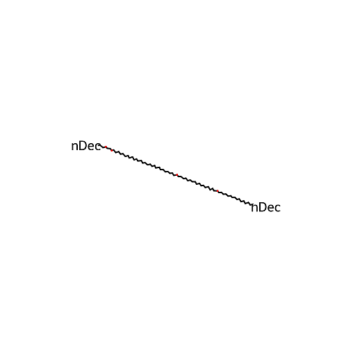 CCCCCCCCCCCCCCCCCCCCCCCCCCCCCCCCCCCCCCCCCCCCCCCCCCCCCCCCCCCCCCCCCCCCCCCCCCCCCCCCCCCCCCCCC